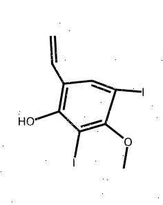 C=Cc1cc(I)c(OC)c(I)c1O